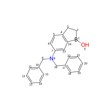 OB1CCc2ccc(N(Cc3ccccc3)Cc3ccccc3)cc21